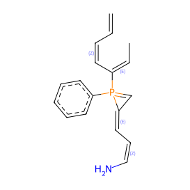 C=C/C=C\C(=C/C)P1(c2ccccc2)=C/C1=C\C=C/N